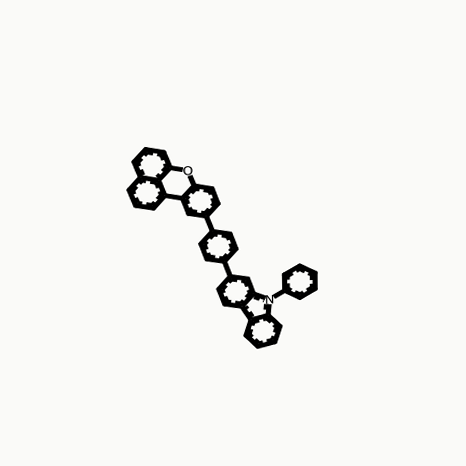 c1ccc(-n2c3ccccc3c3ccc(-c4ccc(-c5ccc6c(c5)-c5cccc7cccc(c57)O6)cc4)cc32)cc1